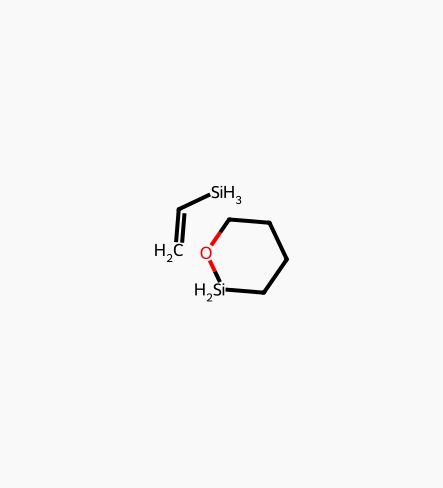 C1CC[SiH2]OC1.C=C[SiH3]